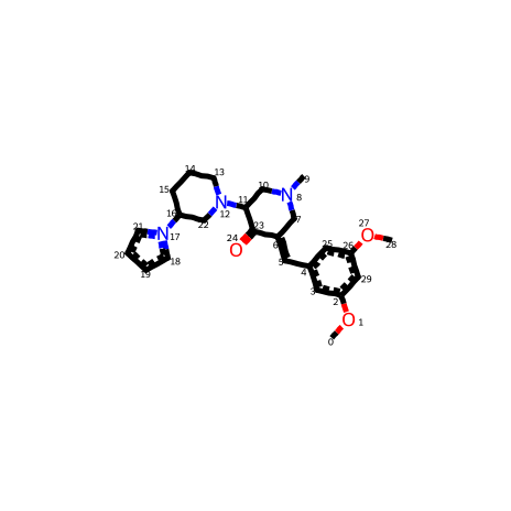 COc1cc(C=C2CN(C)CC(N3CCCC(n4cccc4)C3)C2=O)cc(OC)c1